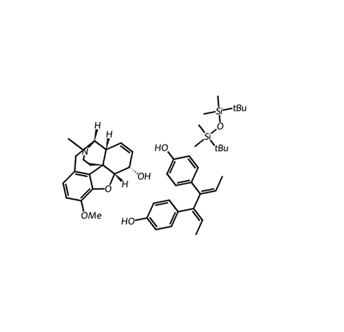 C/C=C(/C(=C/C)c1ccc(O)cc1)c1ccc(O)cc1.CC(C)(C)[Si](C)(C)O[Si](C)(C)C(C)(C)C.COc1ccc2c3c1O[C@H]1[C@@H](O)C=C[C@H]4[C@@H](C2)N(C)CC[C@@]341